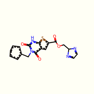 O=C(OCC1N=CC=N1)c1cc2c(=O)n(Cc3ccccc3)c(=O)[nH]c2s1